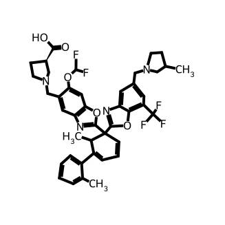 Cc1ccccc1C1=CC=CC(c2nc3cc(CN4CC[C@@H](C(=O)O)C4)c(OC(F)F)cc3o2)(c2nc3cc(CN4CCC(C)C4)cc(C(F)(F)F)c3o2)C1C